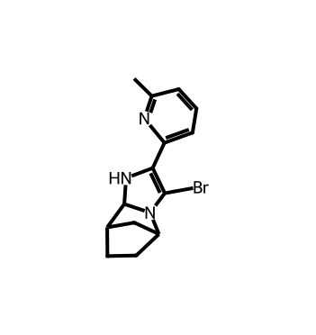 Cc1cccc(C2=C(Br)N3C4CCC(C4)C3N2)n1